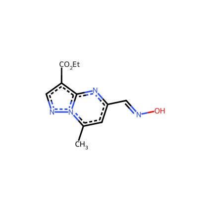 CCOC(=O)c1cnn2c(C)cc(C=NO)nc12